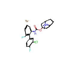 C[N+]1(C)C2CCC1CC(OC(=O)Nc1cccc(F)c1-c1ccc(F)c(Cl)c1)C2.[Br-]